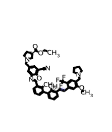 CCOC(=O)[C@@H]1CCN(Cc2cc(C#N)c3oc(-c4cccc(-c5cccc(/C=C/c6cc(OC)c(CN7CCCC7)cc6C(F)(F)F)c5C)c4C)nc3c2)C1